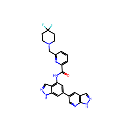 O=C(Nc1cc(-c2cnc3[nH]ncc3c2)cc2[nH]ncc12)c1cccc(CN2CCC(F)(F)CC2)n1